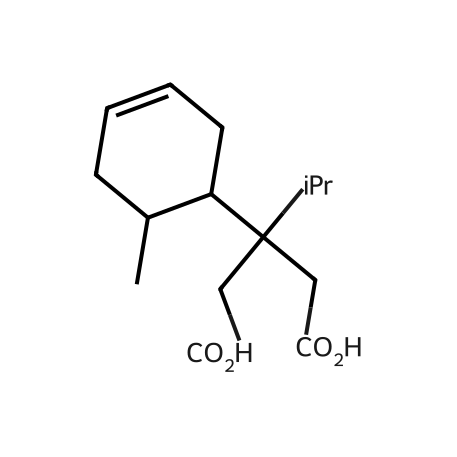 CC1CC=CCC1C(CC(=O)O)(CC(=O)O)C(C)C